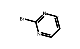 Brc1n[c]ccn1